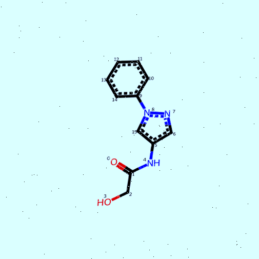 O=C(CO)Nc1cnn(-c2ccccc2)c1